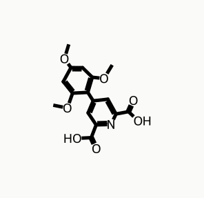 COc1cc(OC)c(-c2cc(C(=O)O)nc(C(=O)O)c2)c(OC)c1